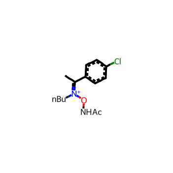 CCCC[N+](ONC(C)=O)=C(C)c1ccc(Cl)cc1